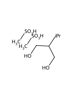 CC(C)C(CO)CO.CS(=O)(=O)O.CS(=O)(=O)O